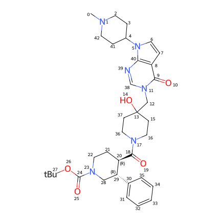 CN1CCC(n2ccc3c(=O)n(CC4(O)CCN(C(=O)[C@@H]5CCN(C(=O)OC(C)(C)C)C[C@H]5c5ccccc5)CC4)cnc32)CC1